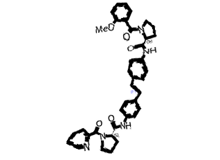 COc1ccccc1C(=O)N1CCC[C@H]1C(=O)Nc1ccc(/C=C/c2ccc(NC(=O)[C@@H]3CCCN3C(=O)c3ccccn3)cc2)cc1